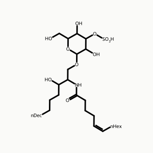 CCCCCC/C=C\CCCC(=O)NC(COC1OC(CO)C(O)C(OS(=O)(=O)O)C1O)C(O)CCCCCCCCCCCCC